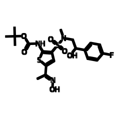 CC(=NO)c1cc(S(=O)(=O)N(C)CC(O)c2ccc(F)cc2)c(NC(=O)OC(C)(C)C)s1